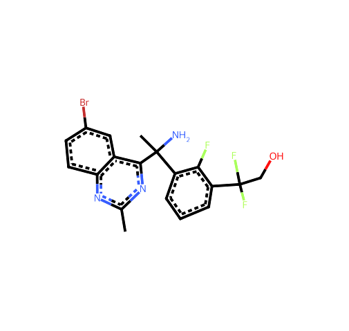 Cc1nc(C(C)(N)c2cccc(C(F)(F)CO)c2F)c2cc(Br)ccc2n1